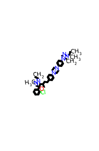 C=C/C=N\N(C)CC1(c2ccccc2Cl)CC(CCc2ccc(N3CCN(c4ccc(N5C=NN(C(C)CC)C5=C)cc4)CC3)cc2)CO1